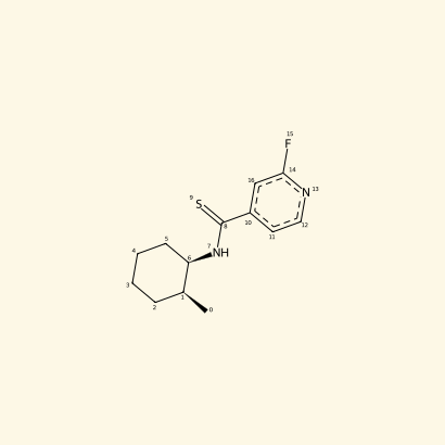 C[C@H]1CCCC[C@H]1NC(=S)c1ccnc(F)c1